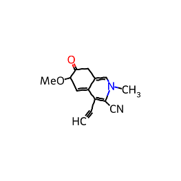 C#CC1=C(C#N)N(C)C=C2CC(=O)C(OC)C=C21